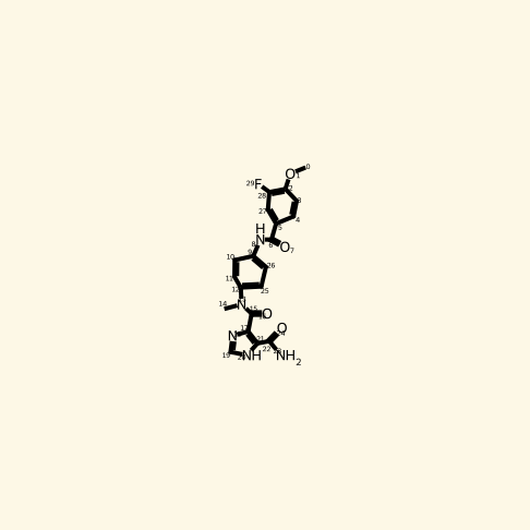 COc1ccc(C(=O)Nc2ccc(N(C)C(=O)c3nc[nH]c3C(N)=O)cc2)cc1F